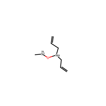 C=CC[SiH](CC=C)O[SiH2]C